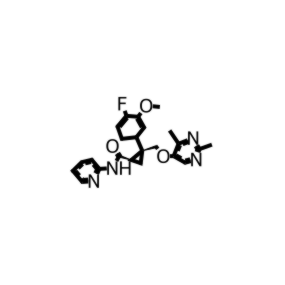 COC1=CC([C@]2(COc3cnc(C)nc3C)C[C@H]2C(=O)Nc2ccccn2)CC=C1F